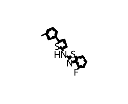 Cc1cccc(-c2ccc(Nc3nc4c(F)cccc4s3)s2)c1